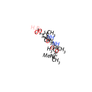 BC(=O)OCc1cc(C)c(NC(=O)CCNC(=O)CC(C)(C)OC/C=C(/C)NC)c(C)c1